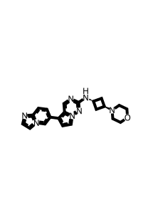 c1cn2cc(-c3ccn4nc(N[C@H]5C[C@H](N6CCOCC6)C5)ncc34)ccc2n1